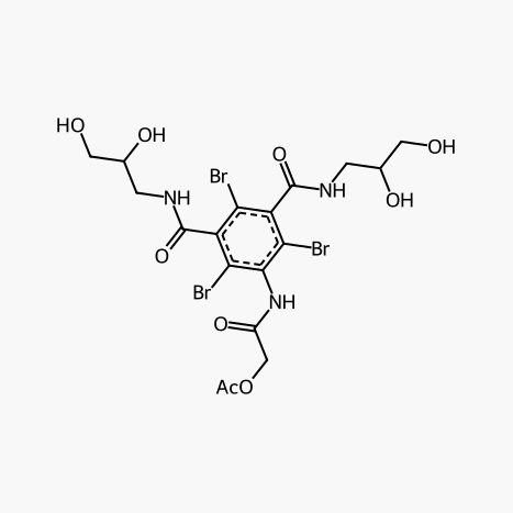 CC(=O)OCC(=O)Nc1c(Br)c(C(=O)NCC(O)CO)c(Br)c(C(=O)NCC(O)CO)c1Br